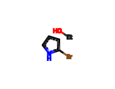 Brc1ccc[nH]1.CCO